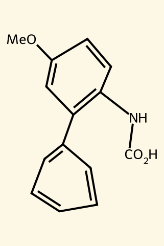 COc1ccc(NC(=O)O)c(-c2ccccc2)c1